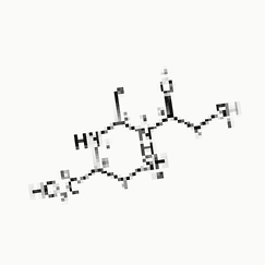 CC(NC(=O)CS)NC(CS)C(=O)O